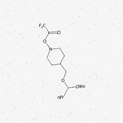 CCCC(OC)OCC1CCN(OC(=O)C(F)(F)F)CC1